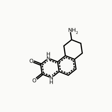 NC1CCc2ccc3[nH]c(=O)c(=O)[nH]c3c2C1